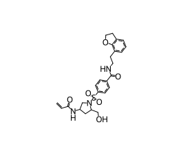 C=CC(=O)NC1CC(CO)N(S(=O)(=O)c2ccc(C(=O)NCCc3cccc4c3OCC4)cc2)C1